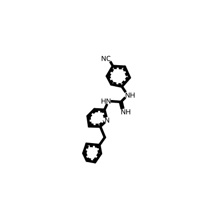 N#Cc1ccc(NC(=N)Nc2cccc(Cc3ccccc3)n2)cc1